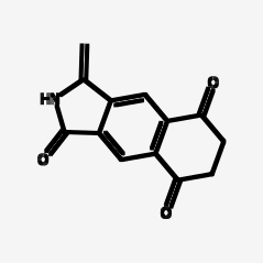 C=C1NC(=O)c2cc3c(cc21)C(=O)CCC3=O